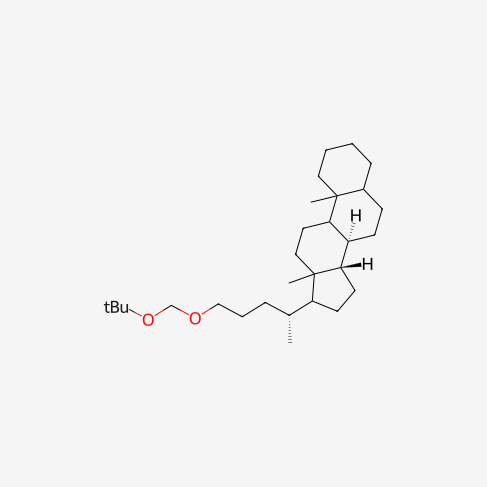 C[C@H](CCCOCOC(C)(C)C)C1CC[C@H]2[C@@H]3CCC4CCCCC4(C)C3CCC12C